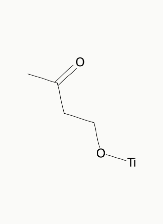 CC(=O)CC[O][Ti]